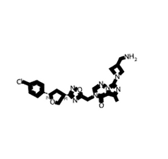 Cc1nc(N2CC(CN)C2)n2ncn(Cc3nc([C@@H]4CO[C@H](c5ccc(Cl)cc5)C4)no3)c(=O)c12